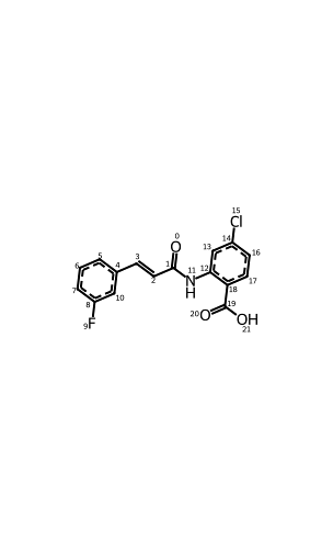 O=C(C=Cc1cccc(F)c1)Nc1cc(Cl)ccc1C(=O)O